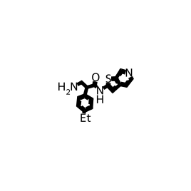 CCc1ccc(C(CN)C(=O)Nc2cc3ccncc3s2)cc1